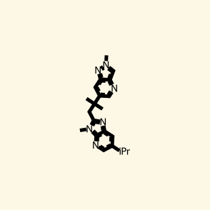 CC(C)c1cnc2c(c1)nc(CC(C)(C)c1cnc3cn(C)nc3c1)n2C